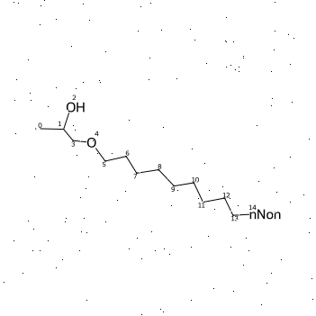 [CH2]C(O)COCCCCCCCCCCCCCCCCCC